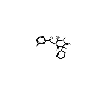 CN1C(=O)C(C)(C2C=CCCC2)C(=O)N(CC(=O)c2cccc(F)c2)C1O